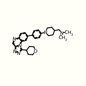 CN(C)CC1CCN(c2ccc(-c3ccc4ncc5nnc(C6CCOCC6)n5c4c3)cc2)CC1